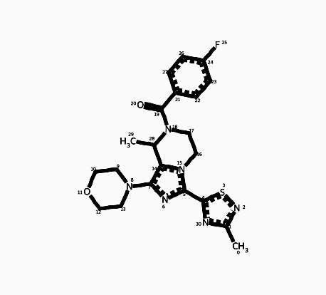 Cc1nsc(-c2nc(N3CCOCC3)c3n2CCN(C(=O)c2ccc(F)cc2)C3C)n1